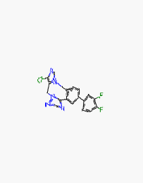 Fc1ccc(-c2ccc3c(c2)-c2ncnn2Cc2c(Cl)ncn2-3)cc1F